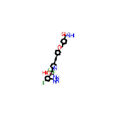 CNC(=O)c1ccc(COc2ccc(C#Cc3ccc(C(F)(F)C4(O)Cn5nnnc5-c5cc(F)ccc54)nc3)cc2)cc1